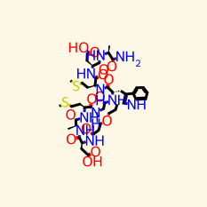 CCCOCCC(=O)N[C@@H](CC(=O)O)C(=O)N[C@@H](C)C(=O)N[C@@H](CCSC)C(=O)NCC(=O)N[C@@H](Cc1c[nH]c2ccccc12)C(=O)N[C@@H](CCSC)C(=O)N[C@@H](CC(=O)O)C(=O)N[C@@H](C)C(N)=O